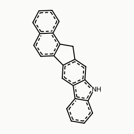 c1ccc2c3c(ccc2c1)-c1cc2c(cc1C3)[nH]c1ccccc12